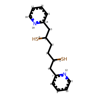 SC(CCC(S)Cc1ccccn1)Cc1ccccn1